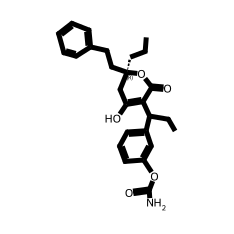 CCC[C@@]1(CCc2ccccc2)CC(O)=C(C(CC)c2cccc(OC(N)=O)c2)C(=O)O1